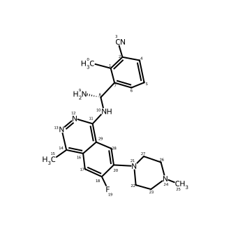 Cc1c(C#N)cccc1[C@@H](N)Nc1nnc(C)c2cc(F)c(N3CCN(C)CC3)cc12